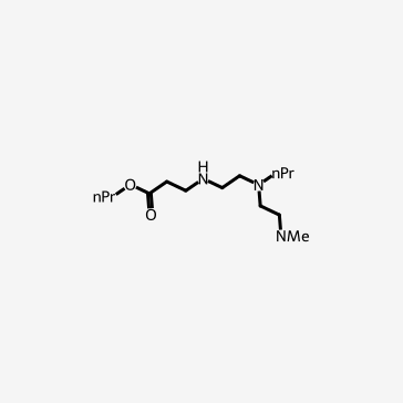 CCCOC(=O)CCNCCN(CCC)CCNC